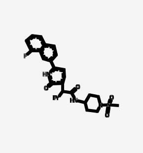 CC(C)C(C(=O)NC1CCN(S(C)(=O)=O)CC1)c1ccc(-c2ccc3cccc(F)c3c2)[nH]c1=O